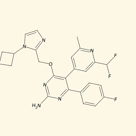 Cc1cc(-c2c(OCc3nccn3C3CCC3)nc(N)nc2-c2ccc(F)cc2)cc(C(F)F)n1